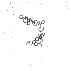 CC(C)(C)Cn1cnc(-c2ccc(C(=O)N3CCN(c4nc5nc(Cl)ccc5o4)CC3)cc2)n1